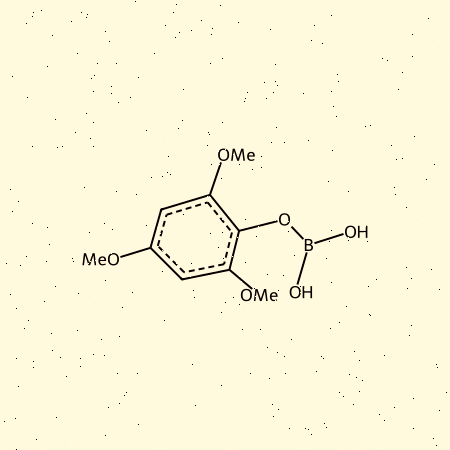 COc1cc(OC)c(OB(O)O)c(OC)c1